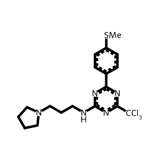 CSc1ccc(-c2nc(NCCCN3CCCC3)nc(C(Cl)(Cl)Cl)n2)cc1